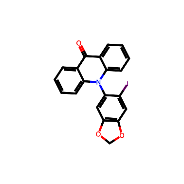 O=c1c2ccccc2n(-c2cc3c(cc2I)OCO3)c2ccccc12